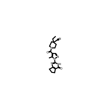 CCC1(C#N)CCN(C(=O)c2cnn(-c3nc4c(c(=O)[nH]3)CCC4)c2C)CC1